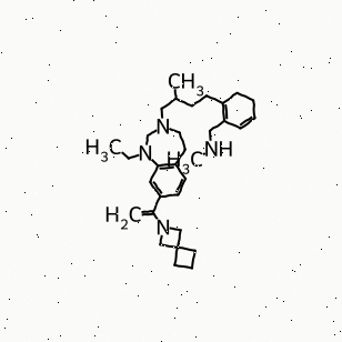 C=C(c1ccc2c(c1)N(CC)CN(CC(C)CCC1=C(CNC)C=CCC1)CC2)N1CC2(CCC2)C1